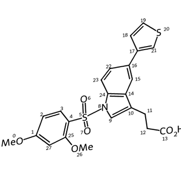 COc1ccc(S(=O)(=O)n2cc(CCC(=O)O)c3cc(-c4ccsc4)ccc32)c(OC)c1